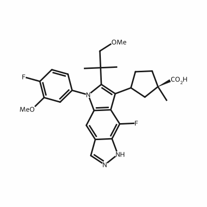 COCC(C)(C)c1c(C2CC[C@@](C)(C(=O)O)C2)c2c(F)c3[nH]ncc3cc2n1-c1ccc(F)c(OC)c1